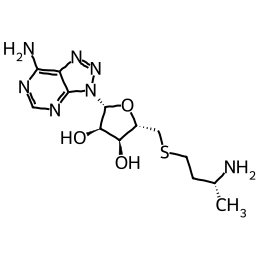 C[C@@H](N)CCSC[C@H]1O[C@@H](n2nnc3c(N)ncnc32)[C@H](O)[C@@H]1O